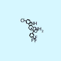 NCC1c2[nH]c3ccc(Cl)cc3c2CCN1C(=O)c1cccc(C(F)(F)F)c1